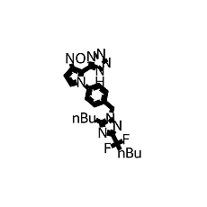 CCCCc1nc(C(F)(F)CCCC)nn1Cc1ccc(-n2ccc([N+](=O)[O-])c2-c2nnn[nH]2)cc1